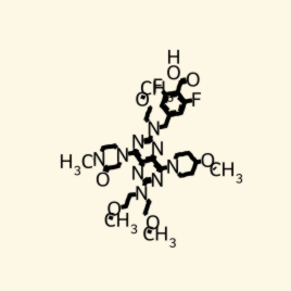 COCCN(Cc1cc(F)c(C(=O)O)c(F)c1)c1nc(N2CCN(C)C(=O)C2)c2nc(N(CCOC)CCOC)nc(N3CCC(OC)CC3)c2n1